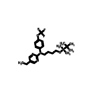 CCc1cnc(N(CCCCO[Si](C)(C)C(C)(C)C)c2ccc(OC(F)(F)F)cc2)nc1